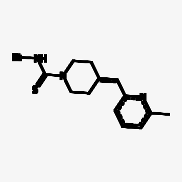 CCNC(=S)N1CCC(=Cc2cccc(C)n2)CC1